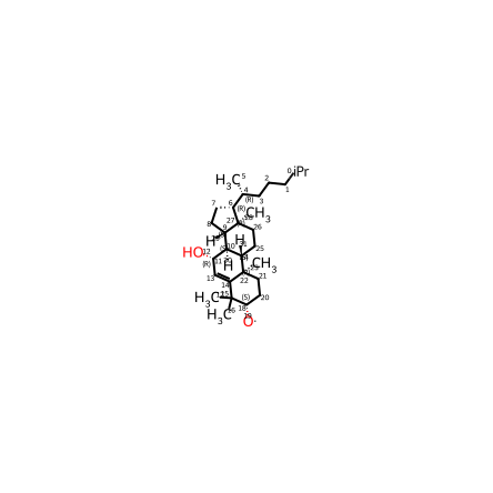 CC(C)CCC[C@@H](C)[C@H]1CC[C@H]2[C@@H]3[C@@H](O)C=C4C(C)(C)[C@@H]([O])CC[C@]4(C)[C@H]3CC[C@]12C